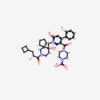 C[C@H](CC1CCC1)C(=O)N1CC[C@@](O)(Cn2cc(C(=O)N3CCN(C(=O)O)CC3)c(-c3ccccc3F)cc2=O)C2(CCCC2)C1